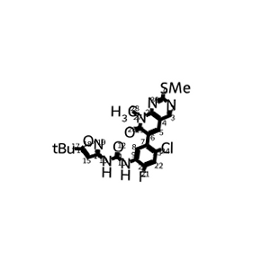 CSc1ncc2cc(-c3cc(NC(=O)Nc4cc(C(C)(C)C)on4)c(F)cc3Cl)c(=O)n(C)c2n1